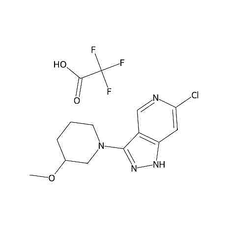 COC1CCCN(c2n[nH]c3cc(Cl)ncc23)C1.O=C(O)C(F)(F)F